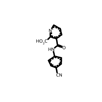 N#Cc1ccc(NC(=O)c2cccnc2C(=O)O)cc1